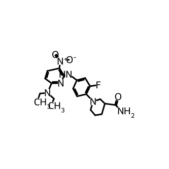 CCN(CC)c1ccc([N+](=O)[O-])c(Nc2ccc(N3CCCC(C(N)=O)C3)c(F)c2)n1